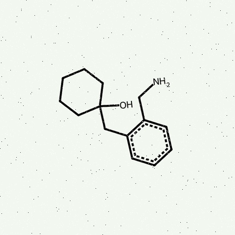 NCc1ccccc1CC1(O)CCCCC1